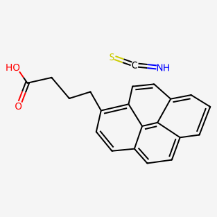 N=C=S.O=C(O)CCCc1ccc2ccc3cccc4ccc1c2c34